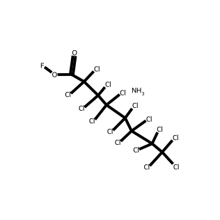 N.O=C(OF)C(Cl)(Cl)C(Cl)(Cl)C(Cl)(Cl)C(Cl)(Cl)C(Cl)(Cl)C(Cl)(Cl)C(Cl)(Cl)Cl